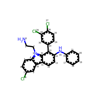 NCCn1c2ccc(Cl)cc2c2ccc(Nc3ccccc3)c(-c3ccc(Cl)c(Cl)c3)c21